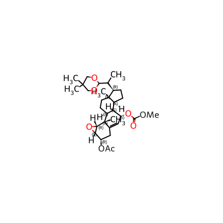 COC(=O)O[C@@H]1C=C2C[C@@H](OC(C)=O)[C@@H]3O[C@@H]3[C@]2(C)[C@H]2CC[C@]3(C)[C@@H](C(C)C4OCC(C)(C)CO4)CC[C@H]3[C@H]12